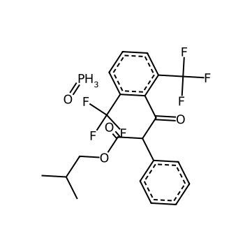 CC(C)COC(=O)C(C(=O)c1c(C(F)(F)F)cccc1C(F)(F)F)c1ccccc1.O=[PH3]